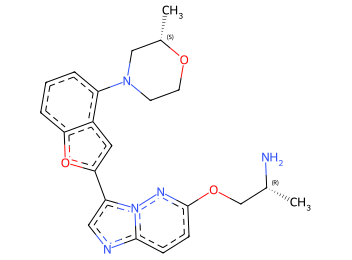 C[C@@H](N)COc1ccc2ncc(-c3cc4c(N5CCO[C@@H](C)C5)cccc4o3)n2n1